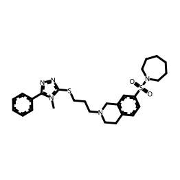 Cn1c(SCCCN2CCc3ccc(S(=O)(=O)N4CCCCCC4)cc3C2)nnc1-c1ccccc1